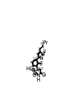 CC(C)CCc1cc(-c2ccc(O)c(N3CC(=O)NS3(=O)=O)c2F)nn1C